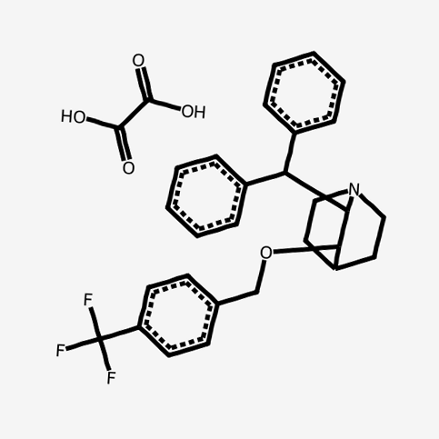 FC(F)(F)c1ccc(COC2C3CCN(CC3)C2C(c2ccccc2)c2ccccc2)cc1.O=C(O)C(=O)O